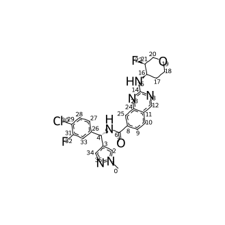 Cn1cc([C@@H](NC(=O)c2ccc3cnc(N[C@@H]4CCOC[C@@H]4F)nc3c2)c2ccc(Cl)c(F)c2)cn1